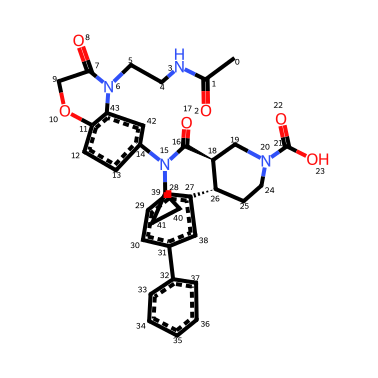 CC(=O)NCCN1C(=O)COc2ccc(N(C(=O)[C@H]3CN(C(=O)O)CC[C@@H]3c3cccc(-c4ccccc4)c3)C3CC3)cc21